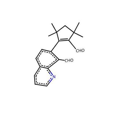 CC1(C)CC(C)(C)C(c2ccc3cccnc3c2C=O)=C1C=O